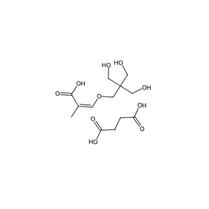 CC(=COCC(CO)(CO)CO)C(=O)O.O=C(O)CCC(=O)O